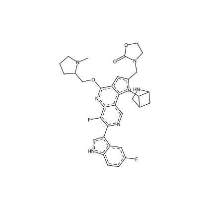 CN1CCCC1COc1nc2c(F)c(-c3c[nH]c4ccc(F)cc34)ncc2c2c1cc(CN1CCOC1=O)n2C1C2CNC1C2